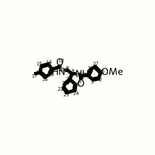 COc1ccc(C(=O)NC(CNC(=O)c2ccc(C)cc2)c2ccccc2)cc1